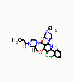 C=CC(=O)N1CCN2C(=O)c3c(N4CCN(C)CC4)nc(-c4c(F)cccc4Cl)c(Cl)c3OC[C@H]2C1